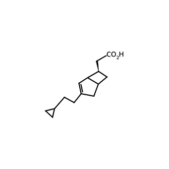 O=C(O)C[C@H]1CC2CC(CCC3CC3)=CC21